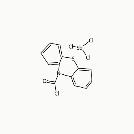 O=C(Cl)N1c2ccccc2Sc2ccccc21.[Cl][Sb]([Cl])[Cl]